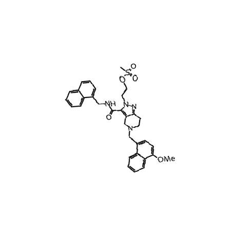 COc1ccc(CN2CCc3nn(CCOS(C)(=O)=O)c(C(=O)NCc4cccc5ccccc45)c3C2)c2ccccc12